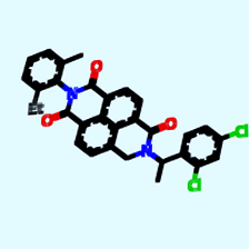 CCc1cccc(C)c1N1C(=O)c2ccc3c4c(ccc(c24)C1=O)C(=O)N(C(C)c1ccc(Cl)cc1Cl)C3